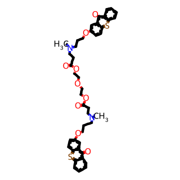 CN(CCCOc1ccc2sc3ccccc3c(=O)c2c1)CCC(=O)OCCOCCOC(=O)CCN(C)CCCOc1ccc2sc3ccccc3c(=O)c2c1